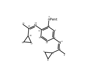 CCCCCc1cc(N=C(C)C2CC2)ccc1N=C(C)C1CC1